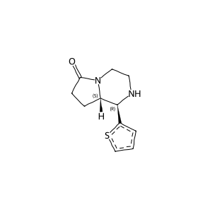 O=C1CC[C@H]2[C@H](c3cccs3)NCCN12